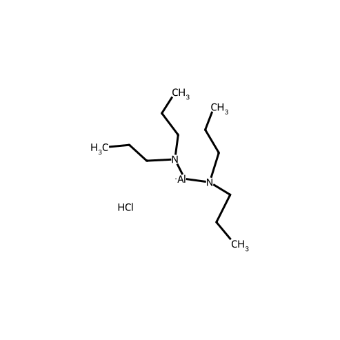 CCC[N](CCC)[Al][N](CCC)CCC.Cl